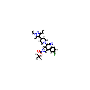 CCc1nn(CC)c(C)c1C1CCN([C@@H](C#N)[C@H]2CN(C(=O)OC(C)(C)C)C[C@@H]2c2cccc(F)c2)CC1